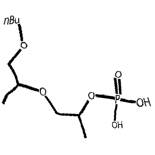 CCCCOCC(C)OCC(C)OP(=O)(O)O